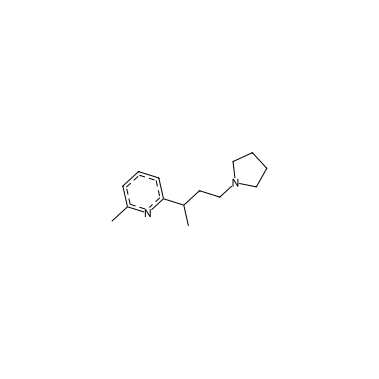 Cc1cccc(C(C)CCN2CCCC2)n1